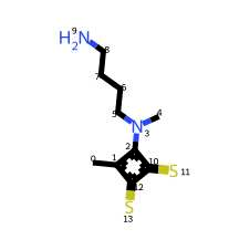 Cc1c(N(C)CCCCN)c(=S)c1=S